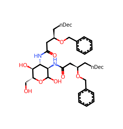 CCCCCCCCCCC[C@H](CC(=O)N[C@H]1[C@H](O)[C@@H](CO)OC(O)[C@@H]1NC(=O)C[C@@H](CCCCCCCCCCC)OCc1ccccc1)OCc1ccccc1